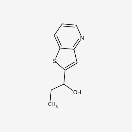 CCC(O)c1cc2ncccc2s1